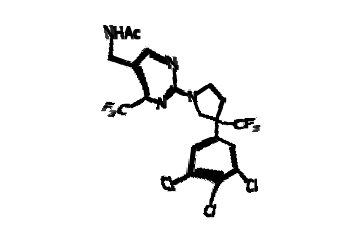 CC(=O)NCc1cnc(N2CCC(c3cc(Cl)c(Cl)c(Cl)c3)(C(F)(F)F)C2)nc1C(F)(F)F